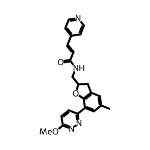 COc1ccc(-c2cc(C)cc3c2OC(CNC(=O)C=Cc2ccncc2)C3)nn1